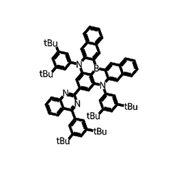 CC(C)(C)c1cc(-c2nc(-c3cc4c5c(c3)N(c3cc(C(C)(C)C)cc(C(C)(C)C)c3)c3cc6ccccc6cc3B5c3cc5ccccc5cc3N4c3cc(C(C)(C)C)cc(C(C)(C)C)c3)nc3ccccc23)cc(C(C)(C)C)c1